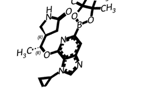 C[C@@H](Oc1nc(B2OC(C)(C)C(C)(C)O2)cc2ncn(C3CC3)c12)[C@H]1CNC(=O)C1